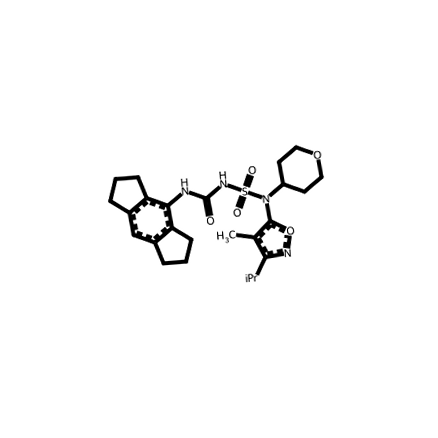 Cc1c(C(C)C)noc1N(C1CCOCC1)S(=O)(=O)NC(=O)Nc1c2c(cc3c1CCC3)CCC2